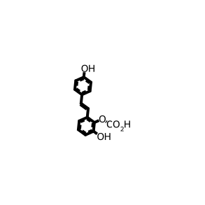 O=C(O)Oc1c(O)cccc1C=Cc1ccc(O)cc1